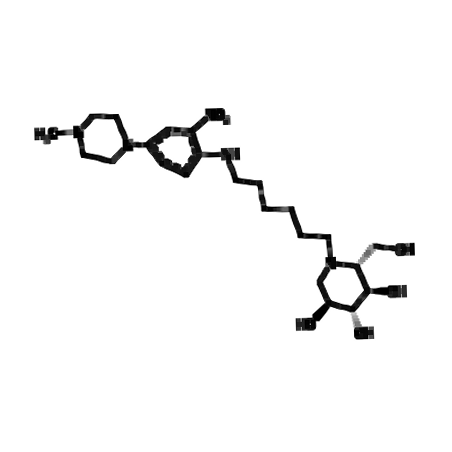 CN1CCN(c2ccc(NCCCCCCN3C[C@H](O)[C@@H](O)[C@H](O)[C@H]3CO)c([N+](=O)[O-])c2)CC1